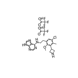 COc1c(CCNc2ncnc3[nH]cnc23)cc(Cl)c(C)c1C1CNC1.O=C(O)C(F)(F)F.O=C(O)C(F)(F)F